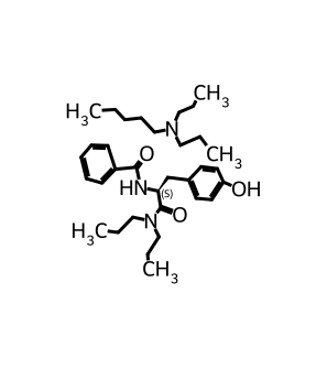 CCCCCN(CCC)CCC.CCCN(CCC)C(=O)[C@H](Cc1ccc(O)cc1)NC(=O)c1ccccc1